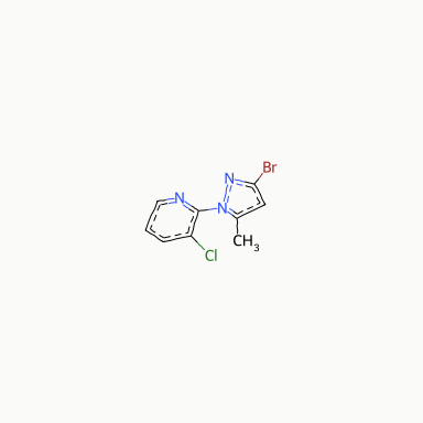 Cc1cc(Br)nn1-c1ncccc1Cl